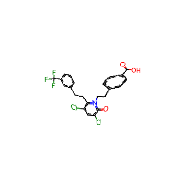 O=C(O)c1ccc(CCn2c(CCc3cccc(C(F)(F)F)c3)c(Cl)cc(Cl)c2=O)cc1